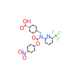 O=C(O)c1ccc(CN(C(=O)Oc2ccc([N+](=O)[O-])cc2)c2cccc(C(F)(F)F)n2)cc1